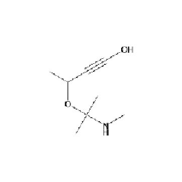 CNC(C)(C)OC(C)C#CO